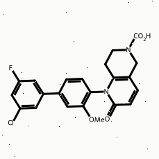 COc1cc(-c2cc(F)cc(Cl)c2)ccc1-n1c2c(ccc1=O)CN(C(=O)O)CC2